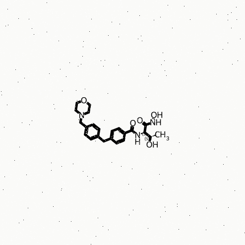 C[C@H](O)[C@H](NC(=O)c1ccc(Cc2ccc(CN3CCOCC3)cc2)cc1)C(=O)NO